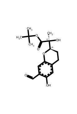 CC(C)(C)OC(=O)[C@@](C)(O)[C@H]1CCc2cc(O)c(C=O)cc2O1